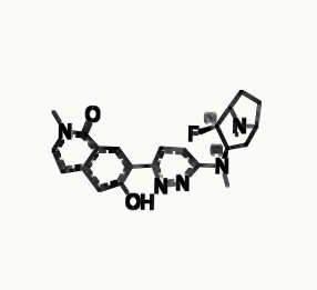 CN1C2CCC1[C@H](F)[C@H](N(C)c1ccc(-c3cc4c(=O)n(C)ccc4cc3O)nn1)C2